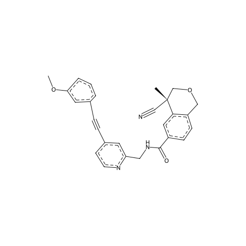 COc1cccc(C#Cc2ccnc(CNC(=O)c3ccc4c(c3)[C@](C)(C#N)COC4)c2)c1